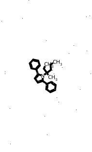 CCCC(C)(CC)n1c(-c2ccccc2)ccc1-c1ccccc1